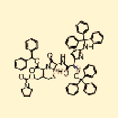 O=C(OC(c1ccccc1)c1ccccc1)C1=C(COC(=O)N2CCCC2)CS[C@@H]2C(NC(=O)/C(=N\OC(c3ccccc3)(c3ccccc3)c3ccccc3)c3csc(NC(c4ccccc4)(c4ccccc4)c4ccccc4)n3)C(=O)N12